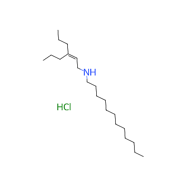 CCCCCCCCCCCCNCC=C(CCC)CCC.Cl